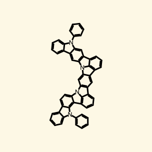 c1ccc(-n2c3ccccc3c3cc4c(cc32)c2cccc3c5cc6c7cccc8c9c%10c(ccc9n(c6cc5n4c23)c78)c2ccccc2n%10-c2ccccc2)cc1